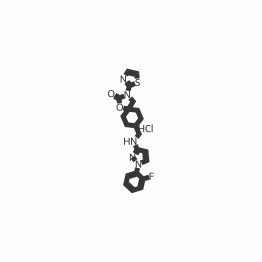 Cl.O=C1OC2(CCC(CNc3ccn(-c4ccccc4F)n3)CC2)CN1c1nccs1